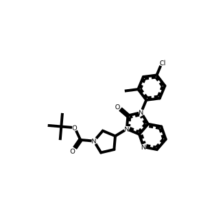 Cc1cc(Cl)ccc1-n1c(=O)n(C2CCN(C(=O)OC(C)(C)C)C2)c2ncccc21